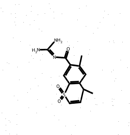 Cc1cc2c(cc1C(=O)N=C(N)N)S(=O)(=O)C=CC2C